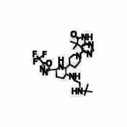 CC(C)(C)NCCNC1CCC(c2nnc(C(F)(F)F)o2)NC1C1CCN(c2ncnc3c2C(C)(C)C(=O)N3)CC1